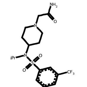 CC(C)N(C1CCN(CC(N)=O)CC1)S(=O)(=O)c1cccc(C(F)(F)F)c1